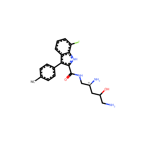 N#Cc1ccc(-c2c(C(=O)NC[C@@H](N)CC(O)CN)[nH]c3c(F)cccc23)cc1